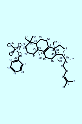 CC(C)=CCC[C@@H](C)[C@H]1CC[C@@]2(C)C3=C(CC[C@]12C)[C@@]1(C)CC[C@H](OP(=O)(Cl)Oc2ccccc2)C(C)(C)C1CC3